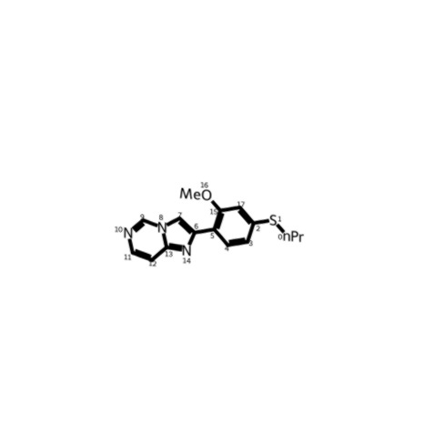 CCCSc1ccc(-c2cn3cnccc3n2)c(OC)c1